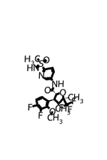 COc1c([C@H]2[C@H](C(=O)Nc3ccc(S(C)(=N)=O)nc3)O[C@@](C)(C(F)(F)F)[C@H]2C)ccc(F)c1F